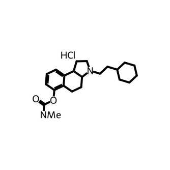 CNC(=O)Oc1cccc2c1CCC1C2CCN1CCC1CCCCC1.Cl